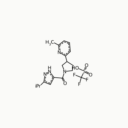 Cc1cccc(C2CCN(C(=O)c3cc(C(C)C)n[nH]3)C2)n1.O=S(=O)(O)C(F)(F)F